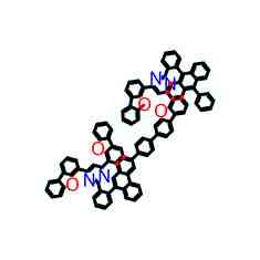 c1ccc(-c2c3ccccc3c(-c3ccccc3-c3nc(-c4cccc5c4oc4ccccc45)cc(-c4cccc5c4oc4cc(-c6ccc(-c7ccc8cc(-c9ccccc9-c9nc(-c%10cccc%11c%10oc%10ccccc%10%11)cc(-c%10cccc%11c%10oc%10ccccc%10%11)n9)c9ccccc9c8c7)cc6)ccc45)n3)c3ccccc23)cc1